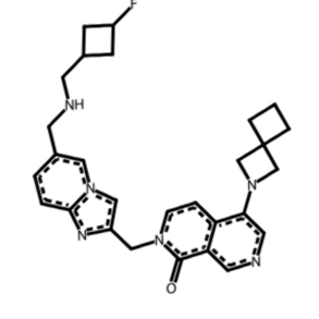 O=c1c2cncc(N3CC4(CCC4)C3)c2ccn1Cc1cn2cc(CNCC3CC(F)C3)ccc2n1